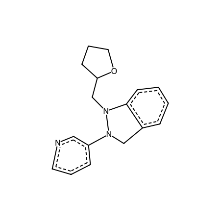 c1cncc(N2Cc3ccccc3N2CC2CCCO2)c1